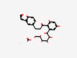 COC(=O)OCC1OC(c2cc(O)cc(O)c2C(=O)CCc2ccc3occc3c2)C(O)C(O)C1O